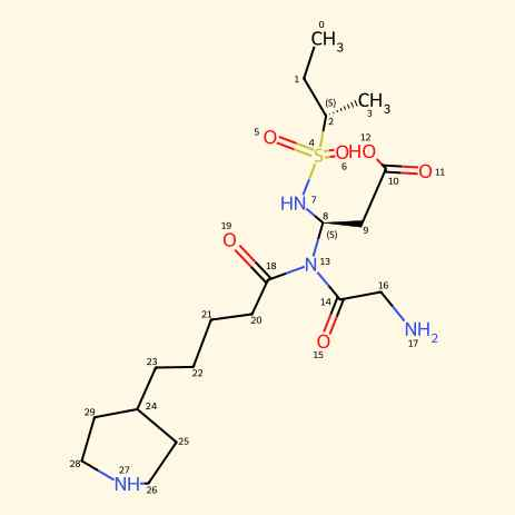 CC[C@H](C)S(=O)(=O)N[C@@H](CC(=O)O)N(C(=O)CN)C(=O)CCCCC1CCNCC1